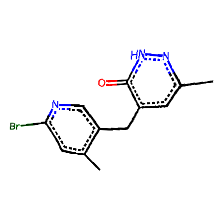 Cc1cc(Cc2cnc(Br)cc2C)c(=O)[nH]n1